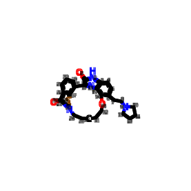 O=c1[nH]c2ccc(CCN3CCCC3)c3c2nc1-c1cccc2c(=O)n(sc12)CCCCCO3